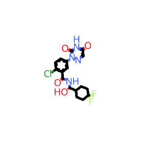 O=C(NC(O)C1CCC(F)(F)CC1)c1cc(-n2ncc(=O)[nH]c2=O)ccc1Cl